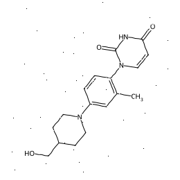 Cc1cc(N2CCC(CO)CC2)ccc1-n1ccc(=O)[nH]c1=O